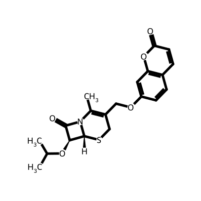 CC1=C(COc2ccc3ccc(=O)oc3c2)CS[C@@H]2[C@@H](OC(C)C)C(=O)N12